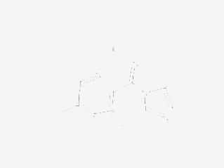 CC(C)/N=C(\c1ncc(C(F)(F)F)cc1Cl)n1ccnc1